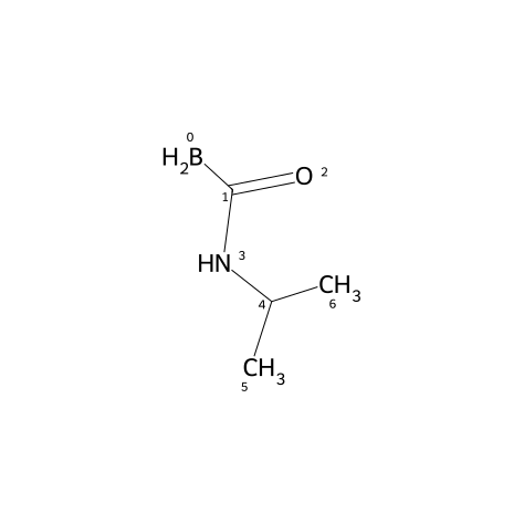 BC(=O)NC(C)C